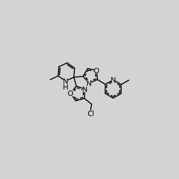 CC1=CC=CC(c2coc(-c3cccc(C)n3)n2)(c2nc(CCl)co2)N1